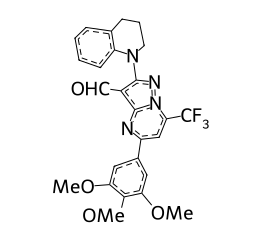 COc1cc(-c2cc(C(F)(F)F)n3nc(N4CCCc5ccccc54)c(C=O)c3n2)cc(OC)c1OC